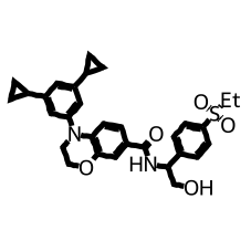 CCS(=O)(=O)c1ccc(C(CO)NC(=O)c2ccc3c(c2)OCCN3c2cc(C3CC3)cc(C3CC3)c2)cc1